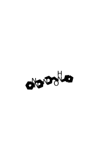 O=C(CC1CCN(c2ccn3c(c2)nc2ccccc23)CC1)NCC1CC2C=CC1C2